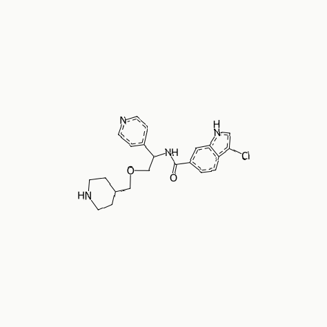 O=C(NC(COCC1CCNCC1)c1ccncc1)c1ccc2c(Cl)c[nH]c2c1